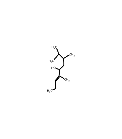 CC/C=C(\C)C(O)CC(C)C(C)C